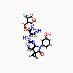 O=C1N([C@@H]2CCC[C@@H](O)C2)c2nc(Nc3c[nH]nc3OCC3COCC3F)ncc2C12CC2